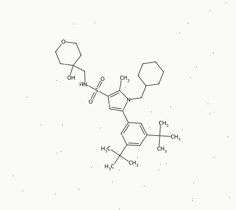 Cc1c(S(=O)(=O)NCC2(O)CCOCC2)cc(-c2cc(C(C)(C)C)cc(C(C)(C)C)c2)n1CC1CCCCC1